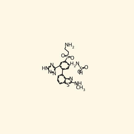 CNc1nc2c(-c3ccc(S(=O)(=O)CCN)cc3-c3nn[nH]n3)cccc2s1.N[SH](=O)=O